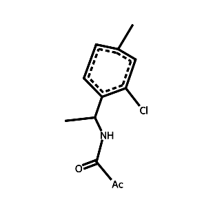 CC(=O)C(=O)NC(C)c1ccc(C)cc1Cl